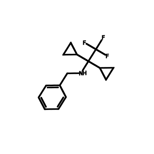 FC(F)(F)C(NCc1ccccc1)(C1CC1)C1CC1